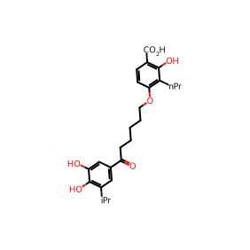 CCCc1c(OCCCCCC(=O)c2cc(O)c(O)c(C(C)C)c2)ccc(C(=O)O)c1O